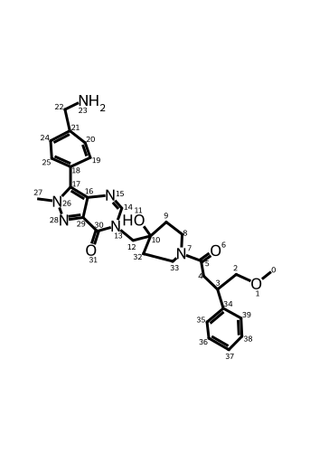 COCC(CC(=O)N1CCC(O)(Cn2cnc3c(-c4ccc(CN)cc4)n(C)nc3c2=O)CC1)c1ccccc1